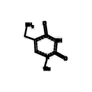 CC(C)(C)n1cc(CN)c(=O)[nH]c1=O